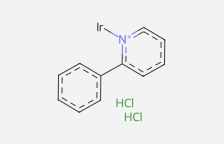 Cl.Cl.[Ir][n+]1ccccc1-c1ccccc1